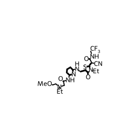 CCN(CCOC)CC(=O)Nc1cccc(NC=c2sc(=C(C#N)C(=O)NCC(F)(F)F)n(CC)c2=O)n1